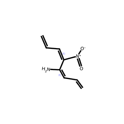 C=C/C=C(N)\C(=C/C=C)[N+](=O)[O-]